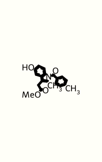 COC(=O)Cc1c(C)n(C(=O)c2ccc(C)cc2)c2ccc(O)cc12